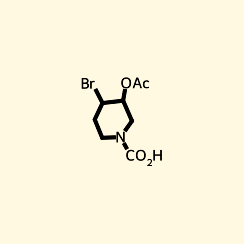 CC(=O)OC1CN(C(=O)O)CCC1Br